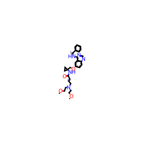 COCCN(C/C=C/C(=O)NC1(COc2ccc3ncnc(N[C@H](C)c4ccccc4)c3c2)CC1)CCOC